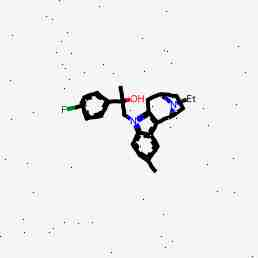 CCN1C2CCC1c1c(n(CC(C)(O)c3ccc(F)cc3)c3ccc(C)cc13)C2